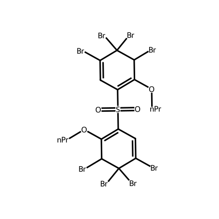 CCCOC1=C(S(=O)(=O)C2=C(OCCC)C(Br)C(Br)(Br)C(Br)=C2)C=C(Br)C(Br)(Br)C1Br